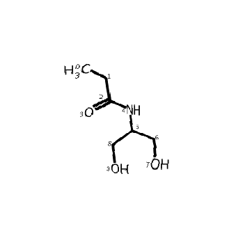 CCC(=O)NC(CO)CO